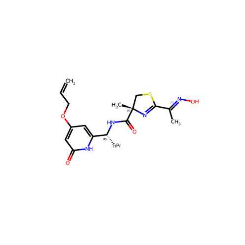 C=CCOc1cc([C@@H](CCC)NC(=O)[C@]2(C)CSC(/C(C)=N/O)=N2)[nH]c(=O)c1